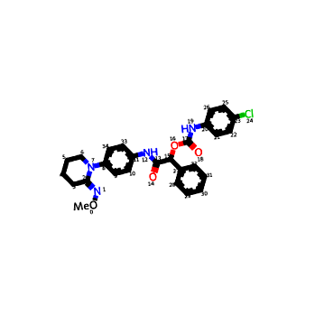 CON=C1CCCCN1c1ccc(NC(=O)C(OC(=O)Nc2ccc(Cl)cc2)c2ccccc2)cc1